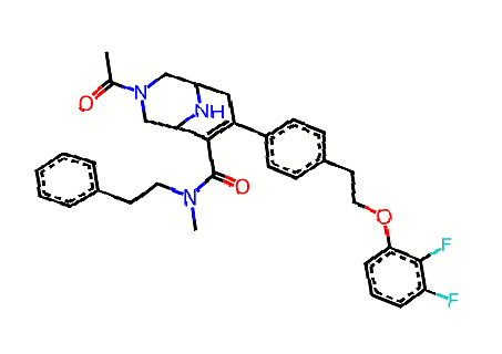 CC(=O)N1CC2CC(c3ccc(CCOc4cccc(F)c4F)cc3)=C(C(=O)N(C)CCc3ccccc3)C(C1)N2